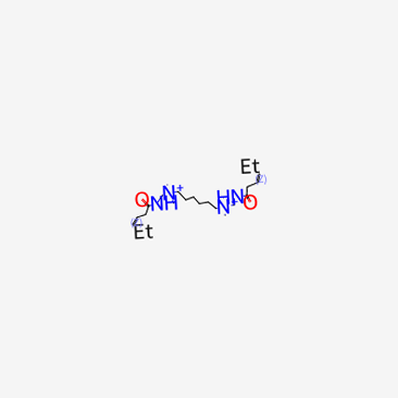 CC/C=C\CC(=O)NC[N+](C)(C)CCCCCC[N+](C)(C)CNC(=O)C/C=C\CC